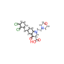 O=C(O)c1cn(CCN2CCOCC2)c2ccc(Cc3cccc(Cl)c3Cl)cc2c1=O